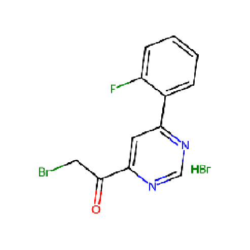 Br.O=C(CBr)c1cc(-c2ccccc2F)ncn1